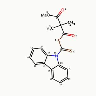 COC(=O)C(C)(C)C(=O)SC(=S)n1c2ccccc2c2ccccc21